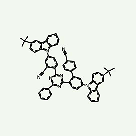 CC(C)(C)c1ccc2c(c1)c1ccccc1n2-c1ccc(-c2nc(-c3ccccc3)nc(-c3ccc(-n4c5ccccc5c5cc(C(C)(C)C)ccc54)cc3-c3ccc(C#N)cc3)n2)c(C#N)c1